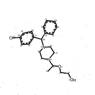 CC(OCCO)N1CCN(C(c2ccccc2)c2ccc(Cl)cc2)CC1